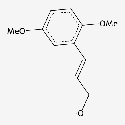 COc1ccc(OC)c(/C=C/C[O])c1